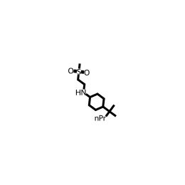 CCCC(C)(C)C1CCC(NCCS(C)(=O)=O)CC1